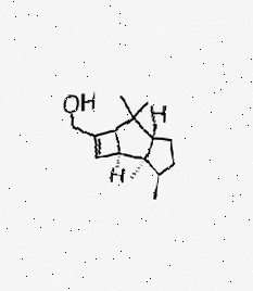 C[C@@H]1CC[C@H]2C(C)(C)C3C(CO)=C[C@@H]3[C@]12C